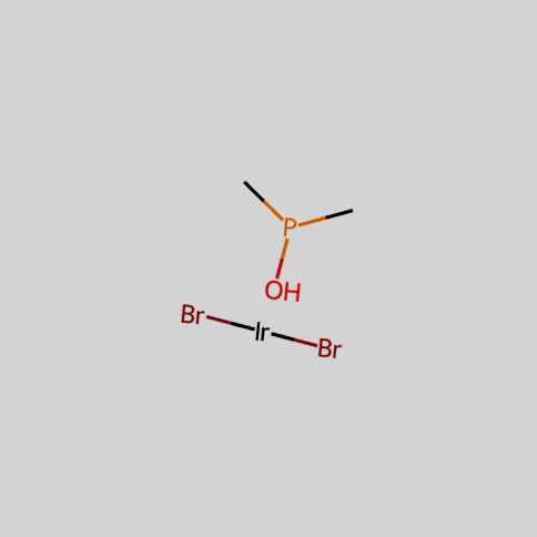 CP(C)O.[Br][Ir][Br]